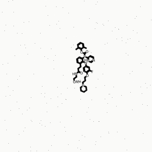 COCCNC(=O)CCc1cccc(N(C(=O)Oc2c(C)cccc2C)c2ccncn2)c1Nc1ccc(OCCCN2CCCCC2)c(F)c1